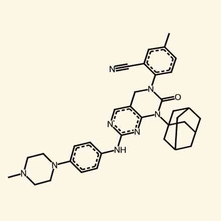 Cc1ccc(N2Cc3cnc(Nc4ccc(N5CCN(C)CC5)cc4)nc3N(C34CC5CC(CC(C5)C3)C4)C2=O)c(C#N)c1